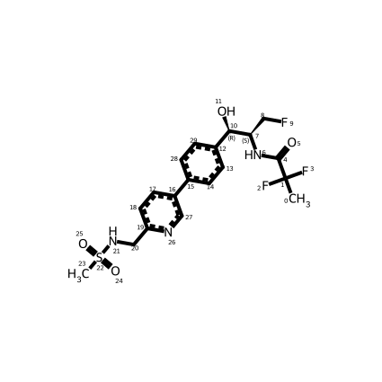 CC(F)(F)C(=O)N[C@H](CF)[C@H](O)c1ccc(-c2ccc(CNS(C)(=O)=O)nc2)cc1